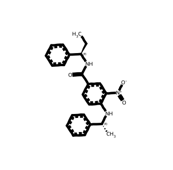 CC[C@@H](NC(=O)c1ccc(N[C@H](C)c2ccccc2)c([N+](=O)[O-])c1)c1ccccc1